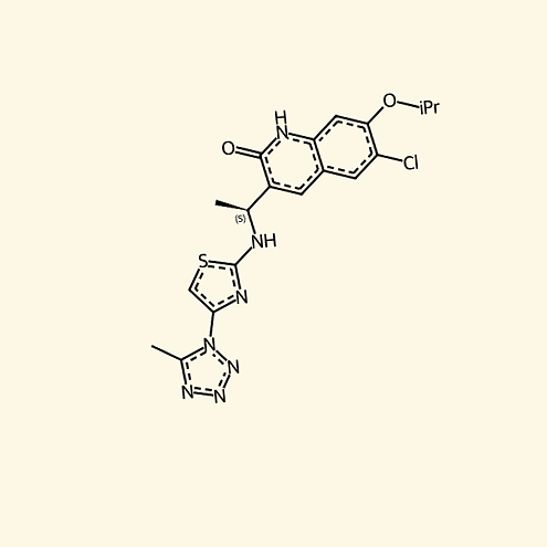 Cc1nnnn1-c1csc(N[C@@H](C)c2cc3cc(Cl)c(OC(C)C)cc3[nH]c2=O)n1